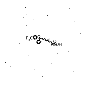 O=C(CCCCCNCCC(Oc1ccc(C(F)(F)F)cc1)c1ccccc1)NO